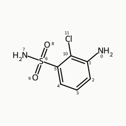 Nc1cccc(S(N)(=O)=O)c1Cl